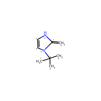 C=C1NC=CN1C(C)(C)C